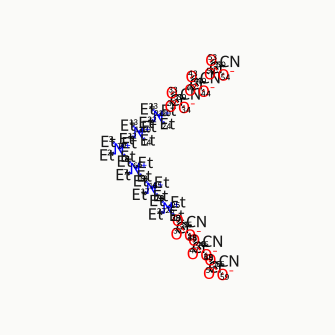 CC[N+](CC)(CC)CC.CC[N+](CC)(CC)CC.CC[N+](CC)(CC)CC.CC[N+](CC)(CC)CC.CC[N+](CC)(CC)CC.CC[N+](CC)(CC)CC.N#[C][Cr](=[O])(=[O])[O-].N#[C][Cr](=[O])(=[O])[O-].N#[C][Cr](=[O])(=[O])[O-].N#[C][Cr](=[O])(=[O])[O-].N#[C][Cr](=[O])(=[O])[O-].N#[C][Cr](=[O])(=[O])[O-]